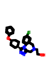 OCCN1Cc2cc(Cl)ccc2-n2c(nnc2[C@H]2CC[C@H](Oc3ccccc3)CC2)C1